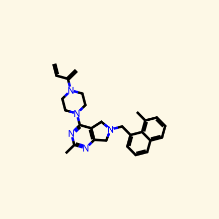 C=CC(=C)N1CCN(c2nc(C)nc3c2CN(Cc2cccc4cccc(C)c24)C3)CC1